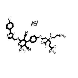 Cl.Cl.N#Cc1c(N)nc(SCc2csc(-c3ccc(Cl)cc3)n2)c(C#N)c1-c1ccc(OCC[C@@](CCC(N)=O)(NCCN)C(=O)O)cc1